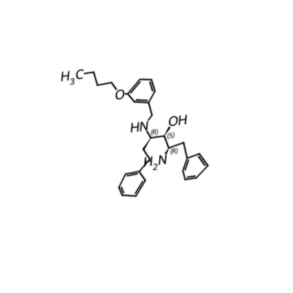 CCCCOc1cccc(CN[C@H](CCc2ccccc2)[C@@H](O)[C@H](N)Cc2ccccc2)c1